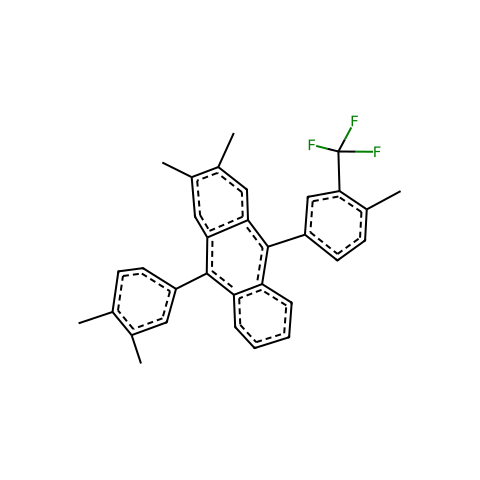 Cc1ccc(-c2c3ccccc3c(-c3ccc(C)c(C(F)(F)F)c3)c3cc(C)c(C)cc23)cc1C